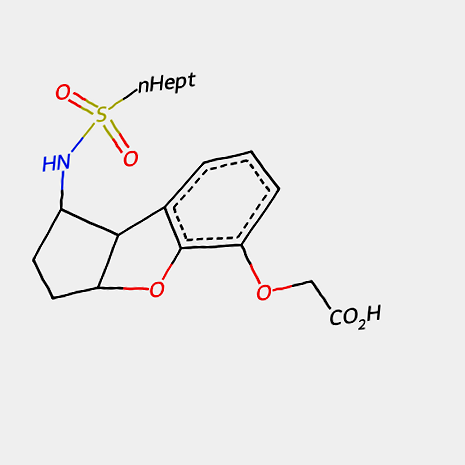 CCCCCCCS(=O)(=O)NC1CCC2Oc3c(OCC(=O)O)cccc3C12